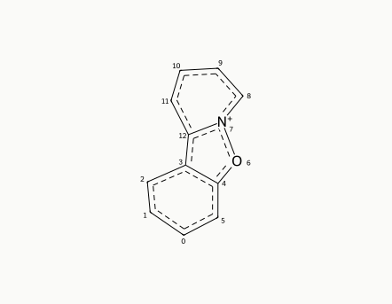 c1ccc2c(c1)o[n+]1ccccc21